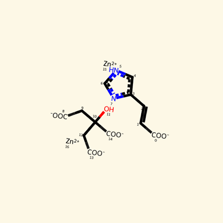 O=C([O-])C=Cc1c[nH]cn1.O=C([O-])CC(O)(CC(=O)[O-])C(=O)[O-].[Zn+2].[Zn+2]